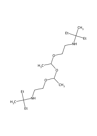 CCC(C)(CC)NCCOC(C)OC(C)OCCNC(C)(CC)CC